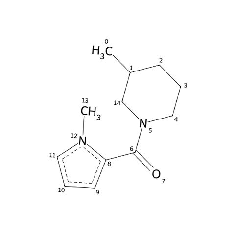 CC1CCCN(C(=O)c2cccn2C)C1